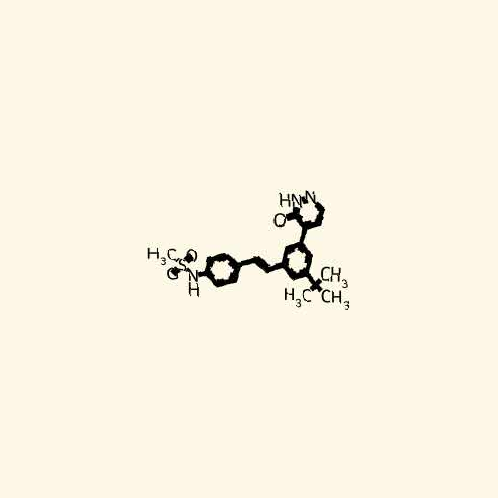 CC(C)(C)c1cc(C=Cc2ccc(NS(C)(=O)=O)cc2)cc(-c2ccn[nH]c2=O)c1